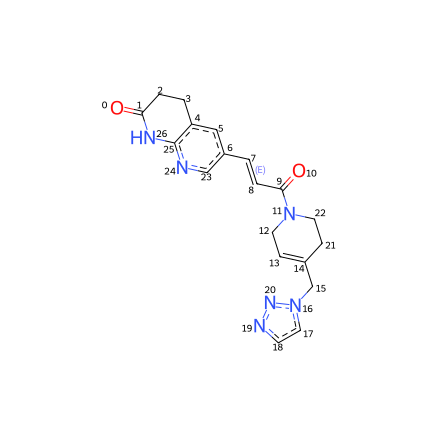 O=C1CCc2cc(/C=C/C(=O)N3CC=C(Cn4ccnn4)CC3)cnc2N1